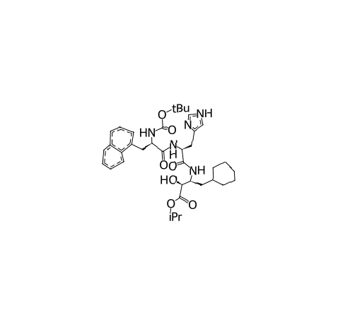 CC(C)OC(=O)[C@@H](O)[C@H](CC1CCCCC1)NC(=O)[C@H](Cc1c[nH]cn1)NC(=O)[C@@H](Cc1cccc2ccccc12)NC(=O)OC(C)(C)C